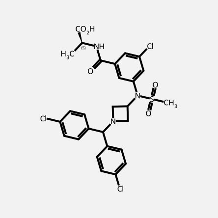 C[C@H](NC(=O)c1cc(Cl)cc(N(C2CN(C(c3ccc(Cl)cc3)c3ccc(Cl)cc3)C2)S(C)(=O)=O)c1)C(=O)O